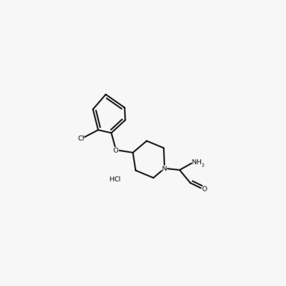 Cl.NC(C=O)N1CCC(Oc2ccccc2Cl)CC1